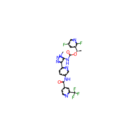 C[C@@H](OC(=O)Nc1c(-c2ccc(NC(=O)c3ccnc(C(F)(F)F)c3)cn2)nnn1C)c1cc(F)cnc1F